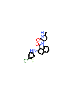 C=C1CCC(N2C(=O)c3c(Nc4ccc(Cl)c(F)c4)ccc4cccc2c34)C(=O)N1